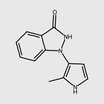 Cc1[nH]ccc1-n1[nH]c(=O)c2ccccc21